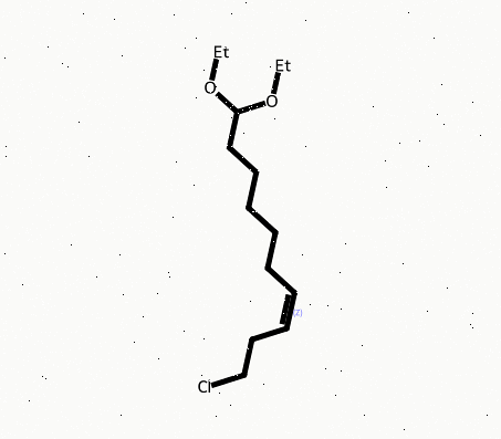 CCOC(CCCCC/C=C\CCCl)OCC